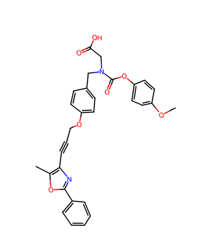 COc1ccc(OC(=O)N(CC(=O)O)Cc2ccc(OCC#Cc3nc(-c4ccccc4)oc3C)cc2)cc1